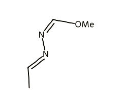 C/C=N/N=C\OC